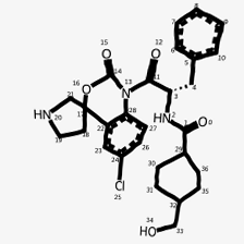 O=C(N[C@@H](Cc1ccccc1)C(=O)N1C(=O)OC2(CCNC2)c2cc(Cl)ccc21)C1CCC(CO)CC1